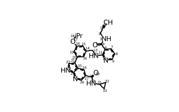 C#CCNC(=O)c1cccnc1NCc1cc(OC(C)C)cc(-c2c[nH]c3ncc(C(=O)NC4CC4)cc23)c1